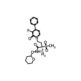 C[C@@](CCn1ccc(-c2ccccc2)c(F)c1=O)(C(=O)NOC1CCCCO1)S(C)(=O)=O